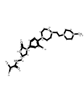 CN1CCN(CCN2CCN(c3ccc(N4C[C@H](CNC(=O)C(F)F)OC4=O)cc3F)CCO2)CC1